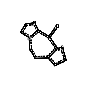 O=c1c2sccc2ccn2ccnc12